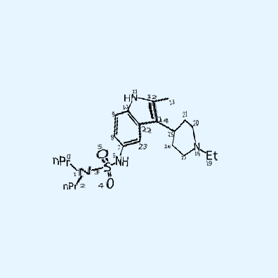 CCCN(CCC)S(=O)(=O)Nc1ccc2[nH]c(C)c(C3CCN(CC)CC3)c2c1